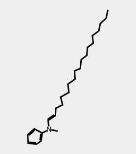 CCCCCCCCCCCCCCCCCC=CN(C)c1ccccc1